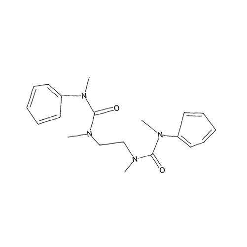 CN(CCN(C)C(=O)N(C)c1ccccc1)C(=O)N(C)c1ccccc1